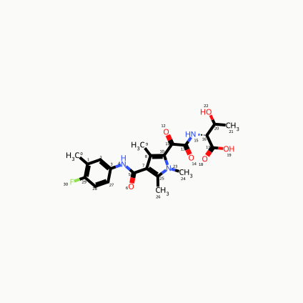 Cc1cc(NC(=O)c2c(C)c(C(=O)C(=O)N[C@@H](C(=O)O)C(C)O)n(C)c2C)ccc1F